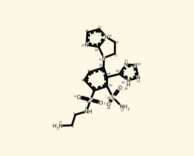 NCCNS(=O)(=O)c1ccc(N2CCn3ccnc32)c(-c2nnn[nH]2)c1S(N)(=O)=O